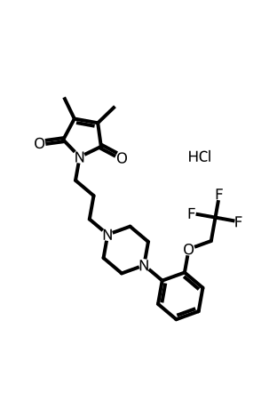 CC1=C(C)C(=O)N(CCCN2CCN(c3ccccc3OCC(F)(F)F)CC2)C1=O.Cl